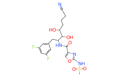 CS(=O)(=O)Nc1nc(C(=O)NC(Cc2cc(F)cc(F)c2)C(O)C(O)CCCC#N)co1